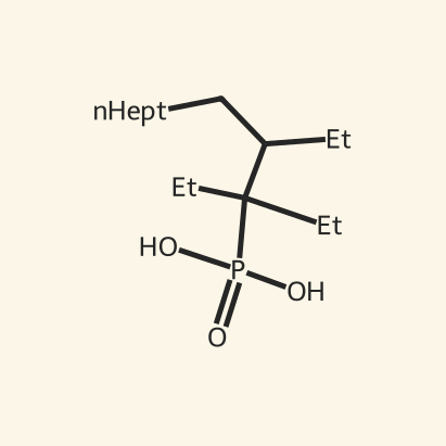 CCCCCCCCC(CC)C(CC)(CC)P(=O)(O)O